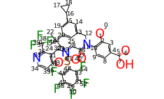 COc1cc(C(=O)O)ccc1N(Cc1cc(C2CC2)cc(C(C)(C)C)c1)C(=O)CN(Cc1cccnc1C(F)(F)F)S(=O)(=O)c1c(F)c(F)c(F)c(F)c1F